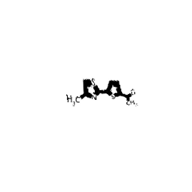 CC(=O)c1ccc(-c2nc(C)cs2)s1